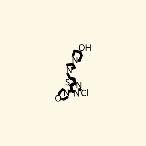 OC1CCN(C2CN(Cc3cc4nc(Cl)nc(N5CCOCC5)c4s3)C2)CC1